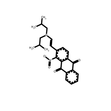 CC(C)CN(C=Cc1ccc2c(c1[N+](=O)[O-])C(=O)c1ccccc1C2=O)CC(C)C